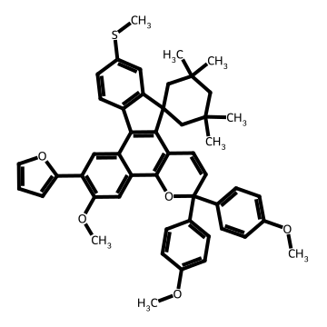 COc1ccc(C2(c3ccc(OC)cc3)C=Cc3c4c(c5cc(-c6ccco6)c(OC)cc5c3O2)-c2ccc(SC)cc2C42CC(C)(C)CC(C)(C)C2)cc1